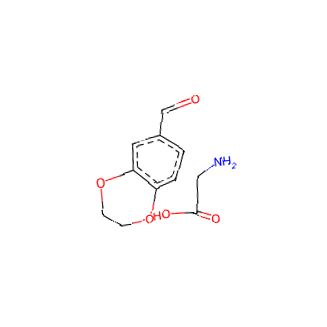 NCC(=O)O.O=Cc1ccc2c(c1)OCCO2